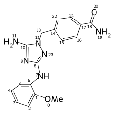 COc1ccccc1Nc1nc(N)n(Cc2ccc(C(N)=O)cc2)n1